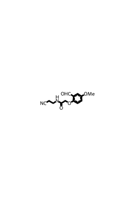 COc1ccc(OCC(=O)NCCC#N)c(C=O)c1